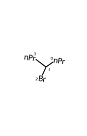 CCCC(Br)CCC